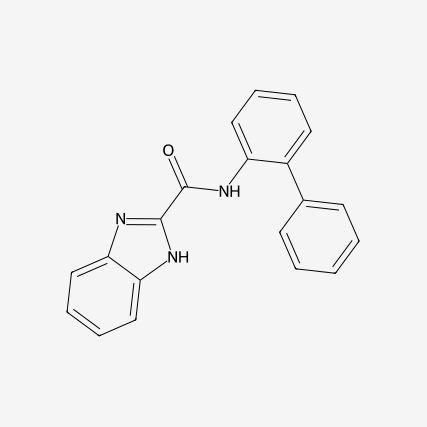 O=C(Nc1ccccc1-c1ccccc1)c1nc2ccccc2[nH]1